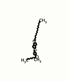 CCCCCCCCCCCCCCCCCOc1ccc2cc(OCc3ccc(C(=O)[C@H](C)CCCCCC)cc3)ccc2c1